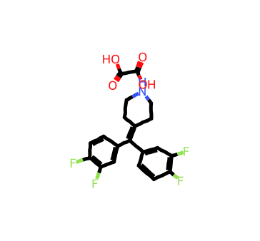 Fc1ccc(C(=C2CCNCC2)c2ccc(F)c(F)c2)cc1F.O=C(O)C(=O)O